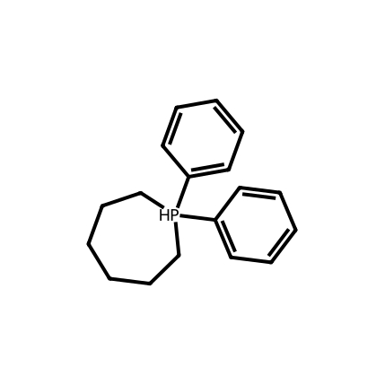 c1ccc([PH]2(c3ccccc3)CCCCCC2)cc1